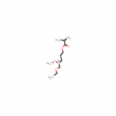 C=C(C)C(=O)OCCC[SiH](COCC)OC